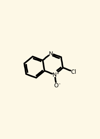 [O-][n+]1c(Cl)cnc2ccccc21